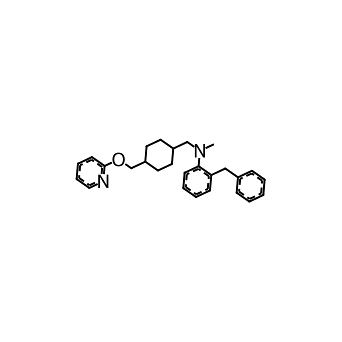 CN(CC1CCC(COc2ccccn2)CC1)c1ccccc1Cc1ccccc1